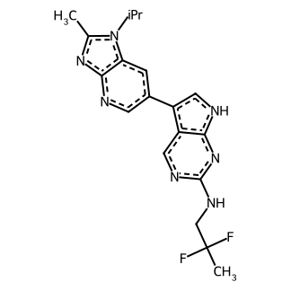 Cc1nc2ncc(-c3c[nH]c4nc(NCC(C)(F)F)ncc34)cc2n1C(C)C